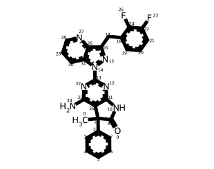 CC1(c2ccccc2)C(=O)Nc2nc(-n3nc(Cc4cccc(F)c4F)c4ncccc43)nc(N)c21